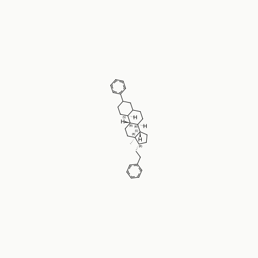 C[C@]12CC[C@H]3[C@@H](CCC4CC(c5ccccc5)CC[C@@H]43)[C@@H]1CC[C@@H]2CCc1ccccc1